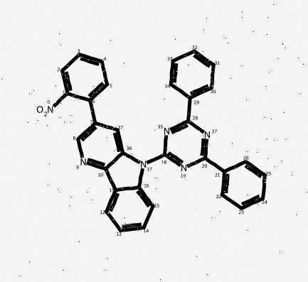 O=[N+]([O-])c1ccccc1-c1cnc2c3ccccc3n(-c3nc(-c4ccccc4)nc(-c4ccccc4)n3)c2c1